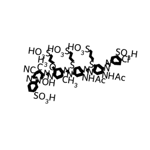 CC(=O)Nc1cc(N=Nc2cc(SCCCS(=O)(=O)O)c(N=Nc3cc(OCCCS(=O)(=O)O)c(N=Nc4c(C)c(C#N)c5nc6ccc(S(=O)(=O)O)cc6n5c4O)cc3C)cc2NC(C)=O)c(SCCCS(=O)(=O)O)cc1N=Nc1ccc(Cl)c(S(=O)(=O)O)c1